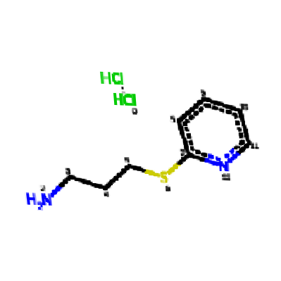 Cl.Cl.NCCCSc1ccccn1